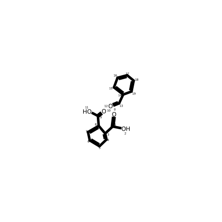 O=C(O)c1ccccc1C(=O)O.O=Cc1ccccc1